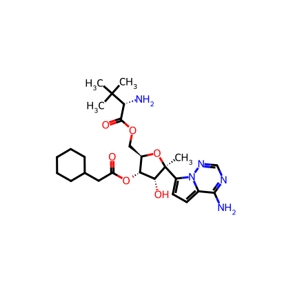 CC(C)(C)[C@H](N)C(=O)OC[C@H]1O[C@@](C)(c2ccc3c(N)ncnn23)[C@H](O)[C@@H]1OC(=O)CC1CCCCC1